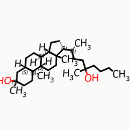 CCCCC(C)(O)CC[C@@H](C)[C@H]1CC[C@H]2[C@@H]3CC[C@H]4C[C@@](C)(O)CC[C@]4(C)[C@H]3CCC12C